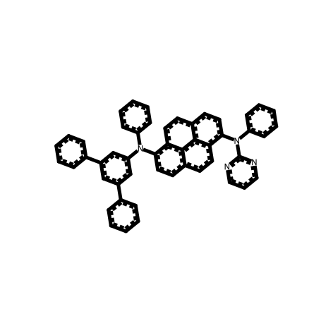 c1ccc(-c2cc(-c3ccccc3)cc(N(c3ccccc3)c3ccc4ccc5c(N(c6ccccc6)c6ncccn6)ccc6ccc3c4c65)c2)cc1